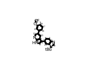 CC(C)(C)n1cnc2ccc(-c3c[nH]c4ncc(-c5cccc(OC(F)(F)F)c5)cc34)cc21